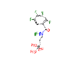 O=C(c1cc(F)c(F)c(F)c1F)N(F)CCC[Si](O)(O)O